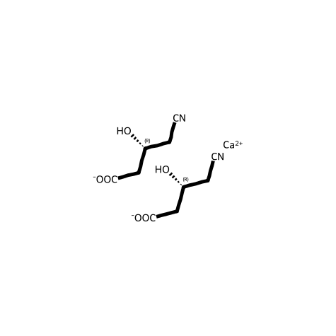 N#CC[C@@H](O)CC(=O)[O-].N#CC[C@@H](O)CC(=O)[O-].[Ca+2]